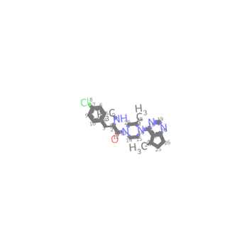 CN[C@H](Cc1ccc(Cl)cc1)C(=O)N1CCN(c2ncnc3c2[C@H](C)CC3)[C@@H](C)C1